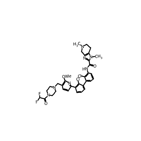 COc1nc(-c2cccc(-c3cccc(NC(=O)c4nc5c(n4C)CCN(C)C5)c3Cl)c2Cl)ccc1CN1CCN(C(=O)C(F)F)CC1